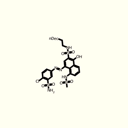 CCCCCCCCCCCCNS(=O)(=O)c1cc(N=Nc2ccc(Cl)c(S(N)(=O)=O)c2)c2c(NS(C)(=O)=O)cccc2c1O